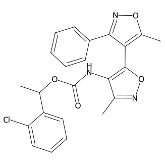 Cc1noc(-c2c(-c3ccccc3)noc2C)c1NC(=O)OC(C)c1ccccc1Cl